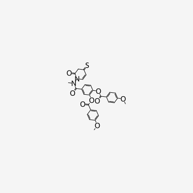 COc1ccc(C(=O)Oc2ccc(C(=O)N(C)N3C=CC(=S)CC3=O)cc2OC(=O)c2ccc(OC)cc2)cc1